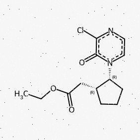 CCOC(=O)C[C@H]1CCC[C@H]1n1ccnc(Cl)c1=O